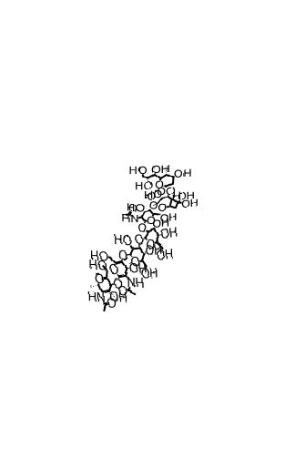 CC(=O)NC1[C@H](O[C@@H]2C(CO)O[C@@H](C)C(NC(C)=O)[C@H]2O)OC(CO)[C@@H](O[C@@H]2OC(CO)[C@@H](O)[C@H](O[C@H]3OC(CO)[C@@H](O)C(O)C3O[C@@H]3OC(CO)[C@@H](O[C@@H]4OC5CC(O)(O)[C@@H]5[C@H](O[C@]5(OC=O)C[C@@H](O)[C@@H](C)C([C@H](O)[C@H](O)CO)O5)C4O)[C@H](O)C3NC(C)=O)C2O)[C@@H]1O